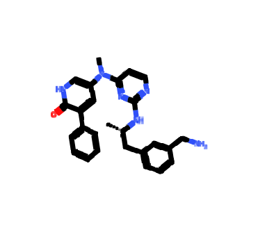 C[C@@H](Cc1cccc(CN)c1)Nc1nccc(N(C)c2c[nH]c(=O)c(-c3ccccc3)c2)n1